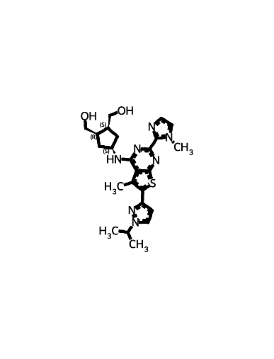 Cc1c(-c2ccn(C(C)C)n2)sc2nc(-c3nccn3C)nc(N[C@@H]3C[C@@H](CO)[C@@H](CO)C3)c12